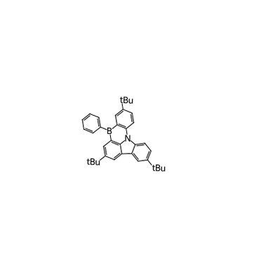 CC(C)(C)c1ccc2c(c1)B(c1ccccc1)c1cc(C(C)(C)C)cc3c4cc(C(C)(C)C)ccc4n-2c13